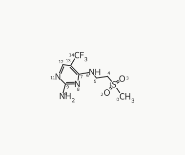 CS(=O)(=O)CCNc1nc(N)ncc1C(F)(F)F